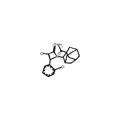 NC(=O)C12CC3CC(CC(C3)C1N1C(=O)C(Cl)C1c1ccccc1Cl)C2